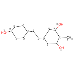 CC1C(O)CC(CCC2CCC(O)CC2)CC1O